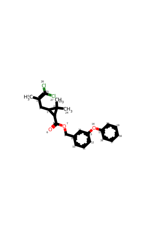 CC(CC1C(C(=O)OCc2cccc(Oc3ccccc3)c2)C1(C)C)=C(Cl)Cl